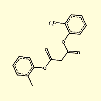 Cc1ccccc1OC(=O)CC(=O)Oc1ccccc1C(F)(F)F